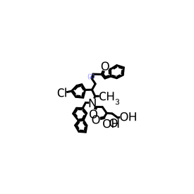 CC(C(C/C=C\c1cc2ccccc2o1)c1ccc(Cl)cc1)N(Cc1ccc2ccccc2c1)C(=O)CC(CC(=O)O)C(=O)O